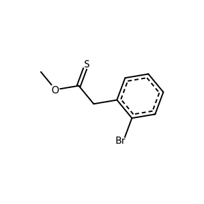 COC(=S)Cc1ccccc1Br